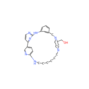 OCC1CN2CCCCCCNc3ccc(cn3)-c3ccnc(n3)Nc3cccc(c3)CN1CC2